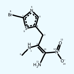 CNC(Cc1cnc(Br)s1)=C(N)[N+](=O)[O-]